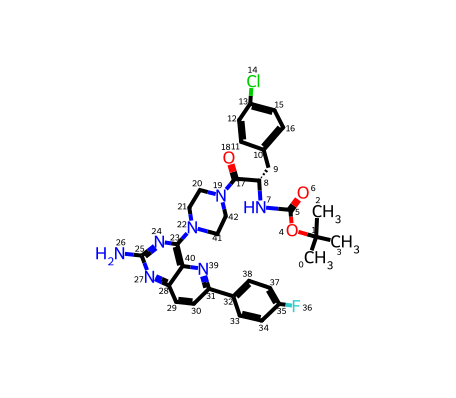 CC(C)(C)OC(=O)N[C@@H](Cc1ccc(Cl)cc1)C(=O)N1CCN(c2nc(N)nc3ccc(-c4ccc(F)cc4)nc23)CC1